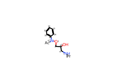 CC(=O)N(OCC(O)CNC(C)C)c1ccccc1